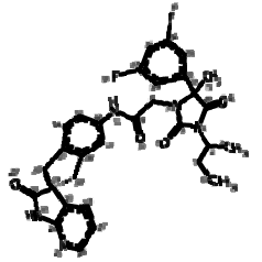 CCC(C)N1C(=O)N(CC(=O)Nc2ccc3c(c2)C[C@@]2(C3)C(=O)Nc3ncccc32)C(C)(c2cc(F)cc(F)c2)C1=O